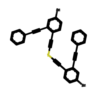 CC(=O)c1ccc(C#CSC#Cc2ccc(C(C)=O)cc2C#Cc2ccccc2)c(C#Cc2ccccc2)c1